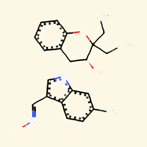 COCC1(COC)Oc2ccccc2[C@@H](n2cc(/C=N/O)c3ccc(C#N)cc32)[C@@H]1O